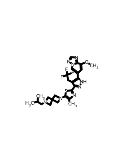 COc1cc(-c2[nH]nc(-c3nc(C)c(N4CC5(CN(CC(C)C)C5)C4)s3)c2CC(F)(F)F)cn2ncnc12